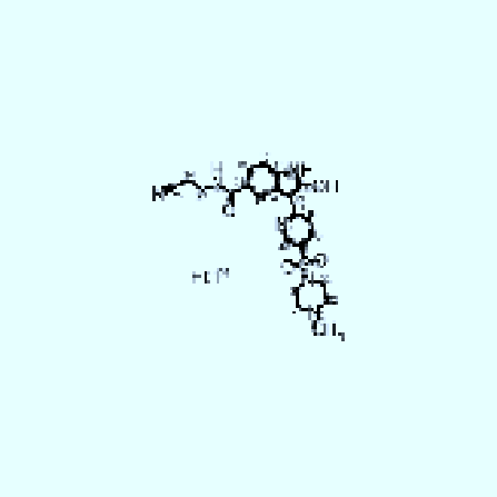 CN1CCN(S(=O)(=O)c2ccc(-c3c(O)[nH]c4ccc(C(=O)NCCC#N)cc34)nc2)CC1.Cl